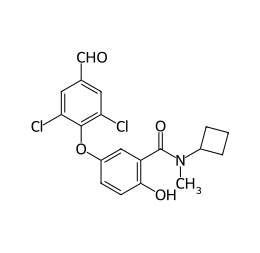 CN(C(=O)c1cc(Oc2c(Cl)cc(C=O)cc2Cl)ccc1O)C1CCC1